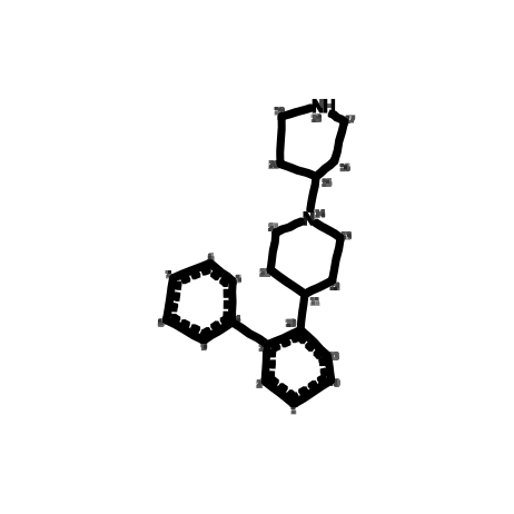 [c]1ccc(-c2ccccc2)c(C2CCN(C3CCNCC3)CC2)c1